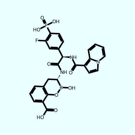 O=C(O)c1cccc2c1OB(O)[C@@H](NC(=O)[C@H](NC(=O)c1ccn3ccccc13)c1ccc(P(=O)(O)O)c(F)c1)C2